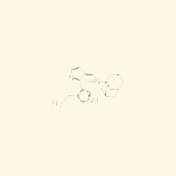 CCc1c[nH]cc1C1=NC=CC1=CNC12CC3CC(CC(C3)C1)C2